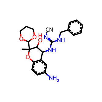 CC1(C2OCCCO2)Oc2ccc(N)cc2C(NC(=NC#N)NCc2ccccc2)C1O